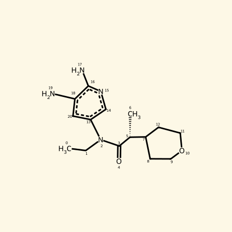 CCN(C(=O)[C@H](C)C1CCOCC1)c1cnc(N)c(N)c1